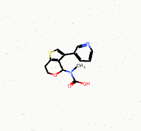 CN(C(=O)O)C1OCCc2scc(-c3cccnc3)c21